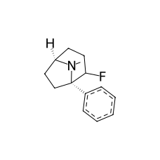 CN1[C@@H]2CCC(F)[C@@]1(c1ccccc1)CC2